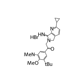 Br.CNc1cc(C(=O)CN2Cc3ccc(C4CC4)nc3C2=N)cc(C(C)(C)C)c1OC